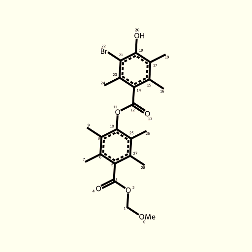 COCOC(=O)c1c(C)c(C)c(OC(=O)c2c(C)c(C)c(O)c(Br)c2C)c(C)c1C